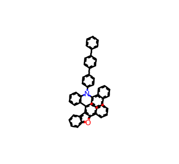 c1ccc(-c2ccc(-c3ccc(N(c4ccccc4-c4cc5ccccc5c5oc6ccccc6c45)c4cccc5ccccc45)cc3)cc2)cc1